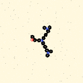 c1ccc(-n2c3ccccc3c3cc(-c4ccc(-c5ccc(N(c6ccc(-c7ccc(-c8ccc9c%10ccccc%10n(-c%10ccccc%10)c9c8)cc7)cc6)c6ccc(-c7ccc8oc9ccccc9c8c7)cc6)cc5)cc4)ccc32)cc1